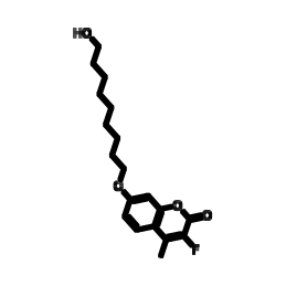 Cc1c(F)c(=O)oc2cc(OCCCCCCCCCO)ccc12